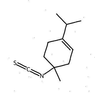 CC(C)C1=CCC(C)(N=C=S)CC1